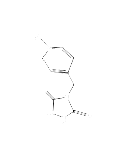 CN1C=CC(Cn2c(=O)[nH][nH]c2=O)=CC1